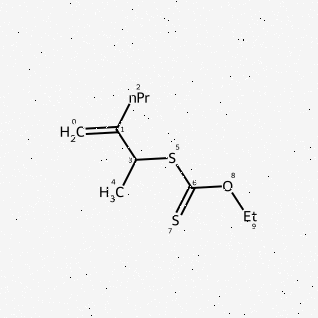 C=C(CCC)C(C)SC(=S)OCC